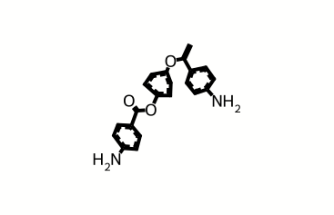 C=C(Oc1ccc(OC(=O)c2ccc(N)cc2)cc1)c1ccc(N)cc1